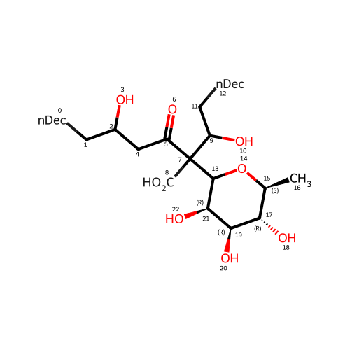 CCCCCCCCCCCC(O)CC(=O)C(C(=O)O)(C(O)CCCCCCCCCCC)C1O[C@@H](C)[C@H](O)[C@@H](O)[C@H]1O